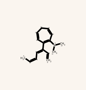 C=C/C(=C\C=C/C)C1=C(N(C)C)C=CCC=C1